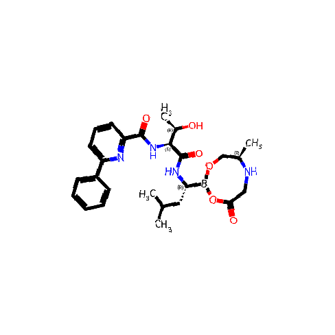 CC(C)C[C@H](NC(=O)[C@@H](NC(=O)c1cccc(-c2ccccc2)n1)[C@@H](C)O)B1OC[C@@H](C)NCC(=O)O1